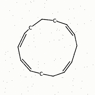 [CH]1C=CCC=CCCC=CC=CCC1